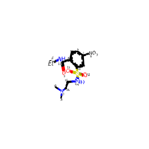 CCNC(=O)c1ccc([N+](=O)[O-])cc1S(=O)(=O)NCCN(C)C